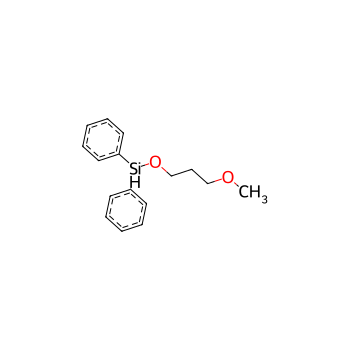 COCCCO[SiH](c1ccccc1)c1ccccc1